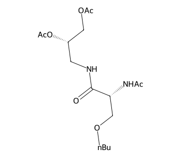 CCCCOC[C@@H](NC(C)=O)C(=O)NC[C@@H](COC(C)=O)OC(C)=O